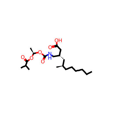 CCCCCC[C@@H](C)C[C@H](CNC(=O)O[C@H](C)OC(=O)C(C)C)CC(=O)O